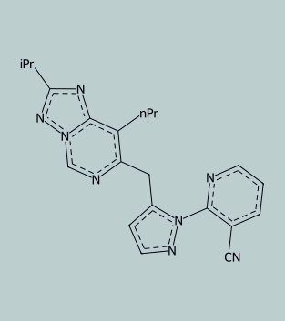 CCCc1c(Cc2ccnn2-c2ncccc2C#N)ncn2nc(C(C)C)nc12